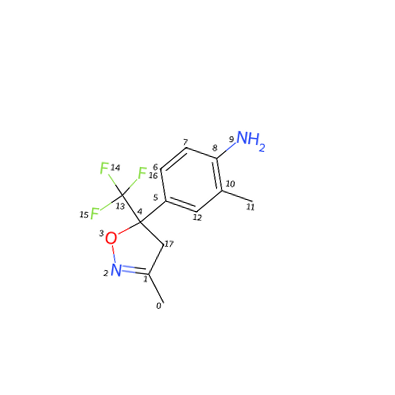 CC1=NOC(c2ccc(N)c(C)c2)(C(F)(F)F)C1